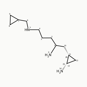 NC(CCCNCC1CC1)C[C@@H]1C[C@@H]1N